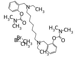 CBr.CBr.CCN(CCCCCCCN(CC)Cc1ccccc1OC(=O)N(C)C)Cc1ccccc1OC(=O)N(C)C